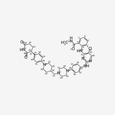 CNC(=O)c1ccccc1Nc1nc(Nc2ccc(N3CCN(CC4CCN(c5ccc([C@@H]6CCC(=O)NC6=O)cc5)CC4)CC3)cc2)ncc1Cl